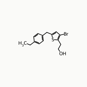 CCc1ccc(Cc2cc(Br)c(CCO)s2)cc1